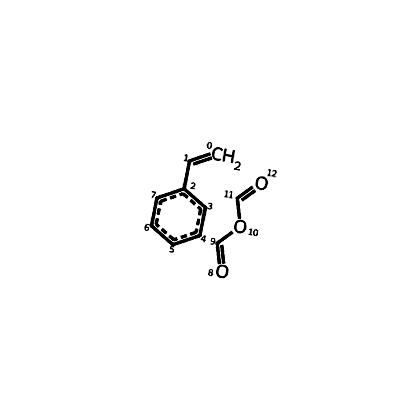 C=Cc1ccccc1.O=COC=O